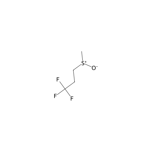 C[S+]([O-])CCC(F)(F)F